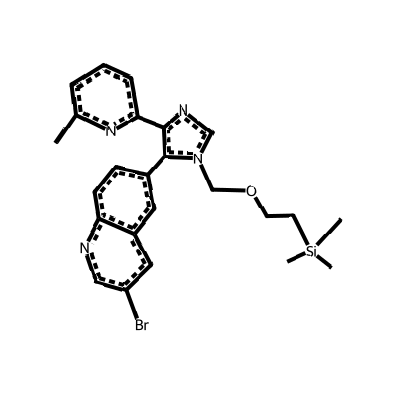 Cc1cccc(-c2ncn(COCC[Si](C)(C)C)c2-c2ccc3ncc(Br)cc3c2)n1